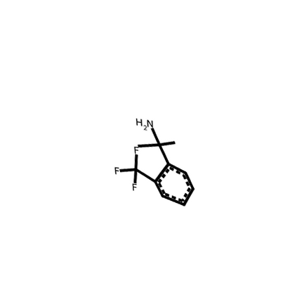 CC(C)(N)c1ccccc1C(F)(F)F